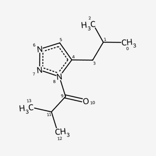 CC(C)Cc1cnnn1C(=O)C(C)C